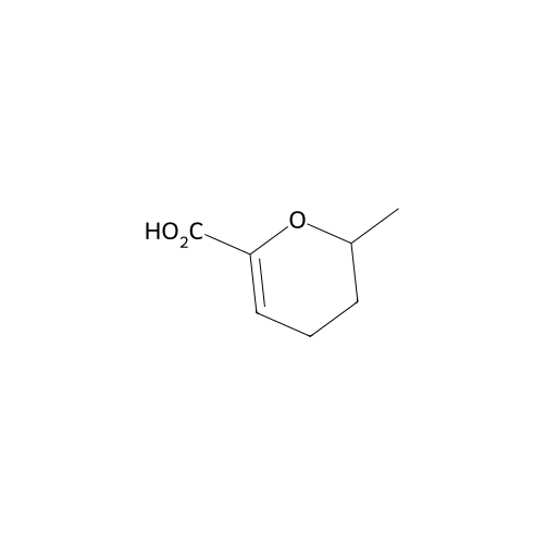 CC1CCC=C(C(=O)O)O1